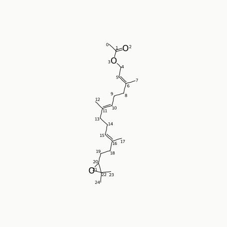 CC(=O)OCC=C(C)CCC=C(C)CCC=C(C)CCC1OC1(C)C